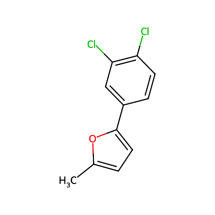 Cc1ccc(-c2ccc(Cl)c(Cl)c2)o1